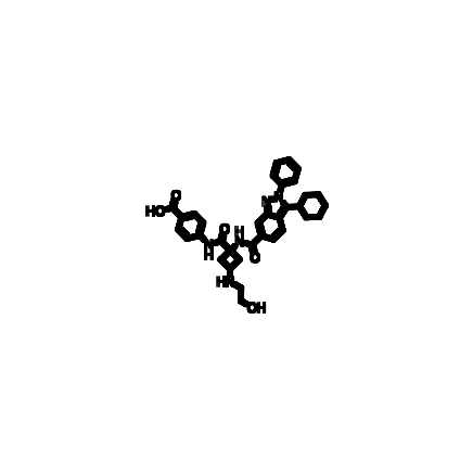 O=C(O)c1ccc(NC(=O)C2(NC(=O)c3ccc4c(C5CCCCC5)n(-c5ccccc5)nc4c3)CC(NCCO)C2)cc1